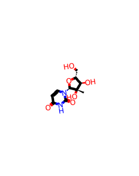 C[C@]1(O)[C@H](O)[C@@H](CO)O[C@H]1n1ccc(=O)[nH]c1=O